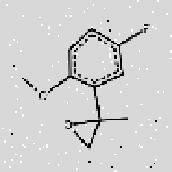 COc1ccc(F)cc1C1(C)CO1